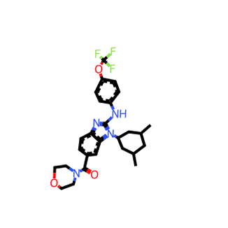 CC1CC(C)CC(n2c(Nc3ccc(OC(F)(F)F)cc3)nc3ccc(C(=O)N4CCOCC4)cc32)C1